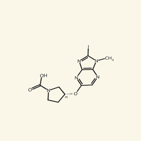 Cn1c(I)nc2nc(O[C@@H]3CCN(C(=O)O)C3)cnc21